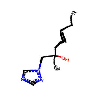 CC(C)CC=CCC(O)(Cn1cncn1)C(C)(C)C